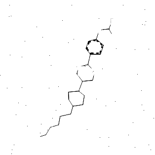 CCCCCCC1CCC(C2COC(c3ccc(OC(F)F)cc3)OC2)CC1